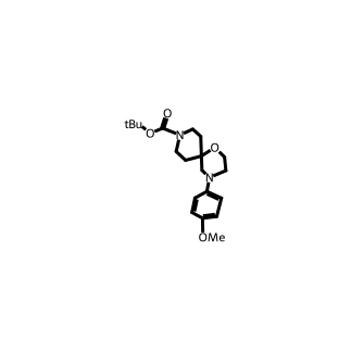 COc1ccc(N2CCOC3(CCN(C(=O)OC(C)(C)C)CC3)C2)cc1